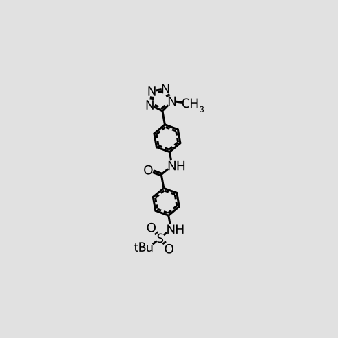 Cn1nnnc1-c1ccc(NC(=O)c2ccc(NS(=O)(=O)C(C)(C)C)cc2)cc1